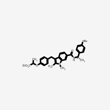 CCCCc1ccc([C@H](C)NC(=O)c2ccc3c(Cc4ccc(OC(C)C(=O)OCC)cc4)c(C)n(C)c3c2)cc1